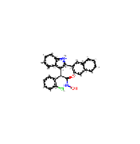 O=C(NO)C(c1ccccc1Cl)c1c(-c2ccc3ccccc3c2)[nH]c2ccccc12